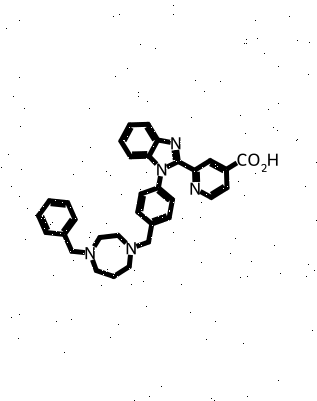 O=C(O)c1ccnc(-c2nc3ccccc3n2-c2ccc(CN3CCCN(Cc4ccccc4)CC3)cc2)c1